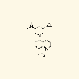 CN(C)C1CC(C2CC2)CN(c2ccc(C(F)(F)F)c3ncccc23)C1